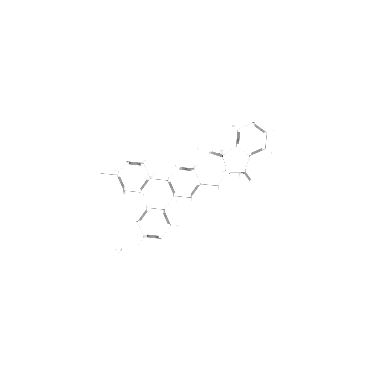 COc1ccc(-c2cc(CN3C(=O)c4ccccc4C3=O)cnc2-c2ccc(C)cc2)cc1